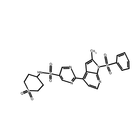 Cc1cc2c(-c3ncc(S(=O)(=O)NC4CCS(=O)(=O)CC4)cn3)ccnc2n1S(=O)(=O)c1ccccc1